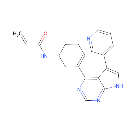 C=CC(=O)NC1CCC=C(c2ncnc3[nH]cc(-c4cccnc4)c23)C1